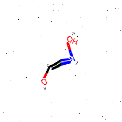 [O]/C=N/O